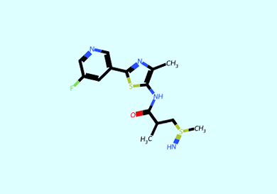 Cc1nc(-c2cncc(F)c2)sc1NC(=O)C(C)CS(C)=N